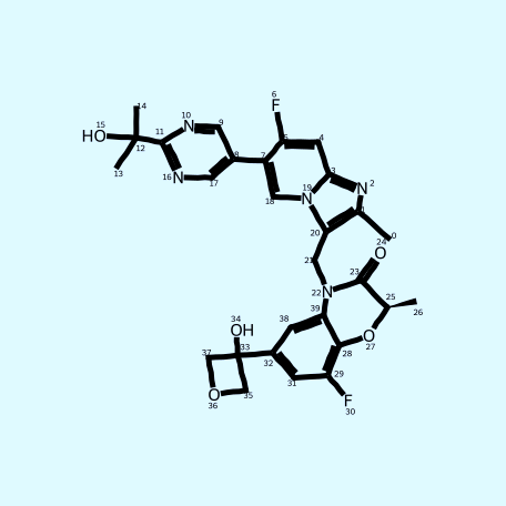 Cc1nc2cc(F)c(-c3cnc(C(C)(C)O)nc3)cn2c1CN1C(=O)[C@@H](C)Oc2c(F)cc(C3(O)COC3)cc21